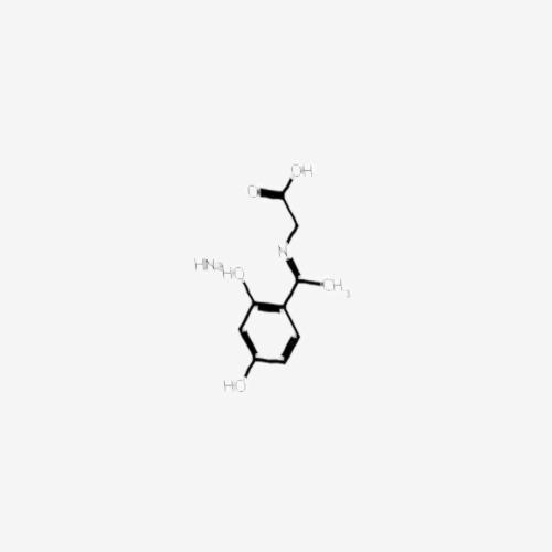 CC(=NCC(=O)O)c1ccc(O)cc1O.[NaH]